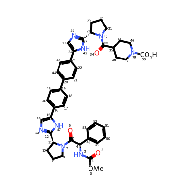 COC(=O)N[C@@H](C(=O)N1CCC[C@H]1c1ncc(-c2ccc(-c3ccc(-c4cnc([C@@H]5CCCN5C(=O)C5CCN(C(=O)O)CC5)[nH]4)cc3)cc2)[nH]1)c1ccccc1